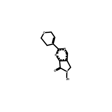 CC(C)N1Cc2cnc(C3=CCOCC3)nc2C1=O